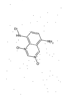 CCNc1ccc(N)c2c[n+]([O-])c[n+]([O-])c12